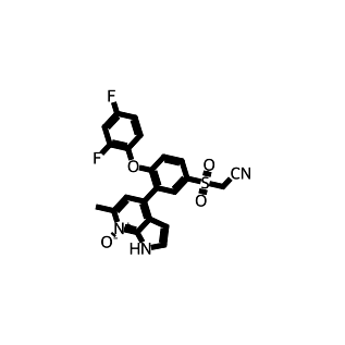 Cc1cc(-c2cc(S(=O)(=O)CC#N)ccc2Oc2ccc(F)cc2F)c2cc[nH]c2[n+]1[O-]